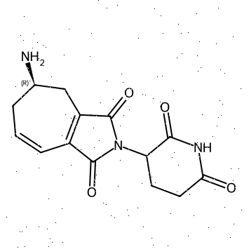 N[C@@H]1CC=CC2=C(C1)C(=O)N(C1CCC(=O)NC1=O)C2=O